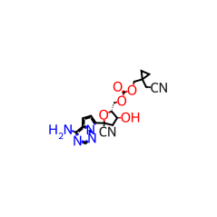 N#CCC1(COC(=O)OC[C@H]2O[C@@](C#N)(c3ccc4c(N)ncnn34)C[C@@H]2O)CC1